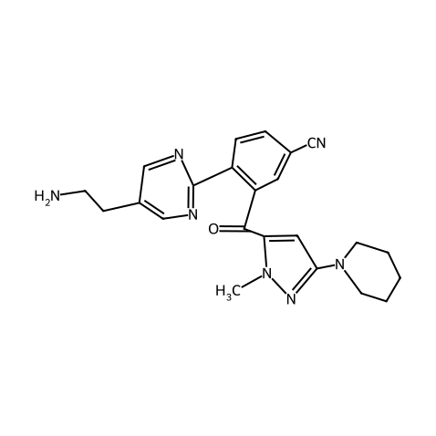 Cn1nc(N2CCCCC2)cc1C(=O)c1cc(C#N)ccc1-c1ncc(CCN)cn1